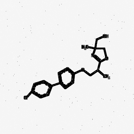 CC(COc1ccc(-c2ccc(Cl)cc2)cc1)C1=NC(C)(CO)CO1